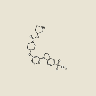 CS(=O)(=O)c1ccc2c(c1)CCN2c1cc(OC2CCN(C(=O)OC3CCNC3)CC2)ncn1